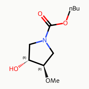 CCCCOC(=O)N1C[C@@H](O)[C@H](OC)C1